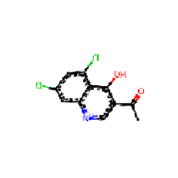 CC(=O)c1cnc2cc(Cl)cc(Cl)c2c1O